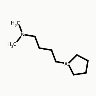 CN(C)CCC[CH2][Al]1[CH2]CC[CH2]1